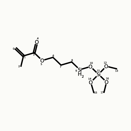 C=C(C)C(=O)OCCC[SiH2]O[Si](OC)(OC)OC